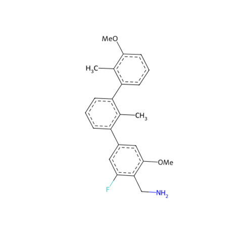 COc1cccc(-c2cccc(-c3cc(F)c(CN)c(OC)c3)c2C)c1C